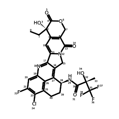 CC[C@@]1(O)C(=O)OCc2c1cc1n(c2=O)Cc2c-1nc1cc(F)c(Cl)c3c1c2[C@@H](NC(=O)[C@](C)(O)C(F)(F)F)CC3